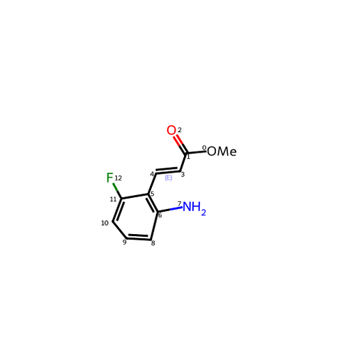 COC(=O)/C=C/c1c(N)cccc1F